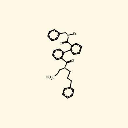 CCN(Cc1ccccc1)C(=O)c1ccccc1-c1ccccc1C(=O)N(CCCc1ccccc1)CCC(=O)O